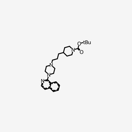 CC(C)(C)OC(=O)N1CCC(CCCN2CCN(c3nccc4ccccc34)CC2)CC1